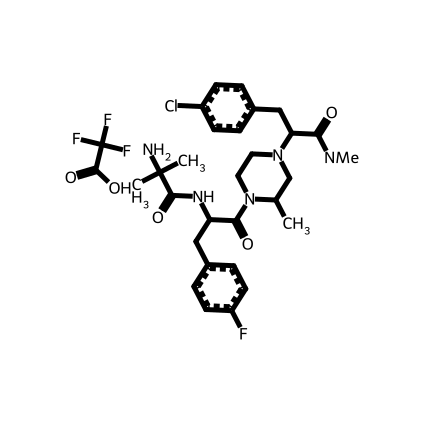 CNC(=O)C(Cc1ccc(Cl)cc1)N1CCN(C(=O)C(Cc2ccc(F)cc2)NC(=O)C(C)(C)N)C(C)C1.O=C(O)C(F)(F)F